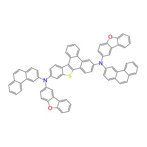 c1ccc2c(c1)ccc1ccc(N(c3ccc4c(c3)sc3c5ccc(N(c6ccc7ccc8ccccc8c7c6)c6ccc7oc8ccccc8c7c6)cc5c5ccccc5c43)c3ccc4oc5ccccc5c4c3)cc12